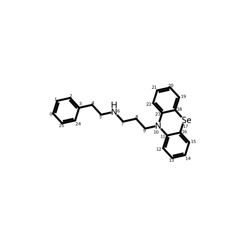 c1ccc(CCNCCCN2c3ccccc3[Se]c3ccccc32)cc1